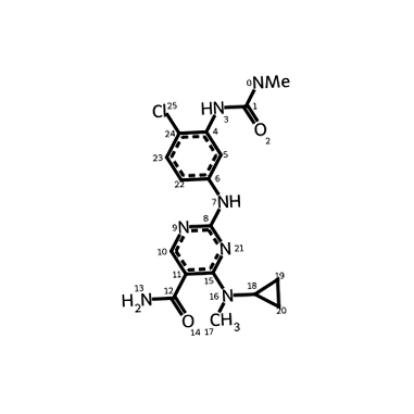 CNC(=O)Nc1cc(Nc2ncc(C(N)=O)c(N(C)C3CC3)n2)ccc1Cl